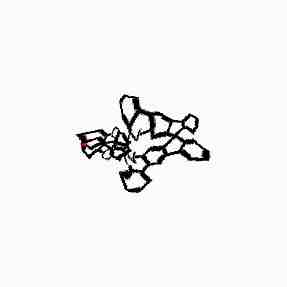 c1ccc2c(c1)-c1cc3c4ccccc4n(-c4cccc5c4oc4ccccc45)c3cc1C21c2ccccc2-c2cc3c4ccccc4n(-c4cccc5c4oc4ccccc45)c3cc21